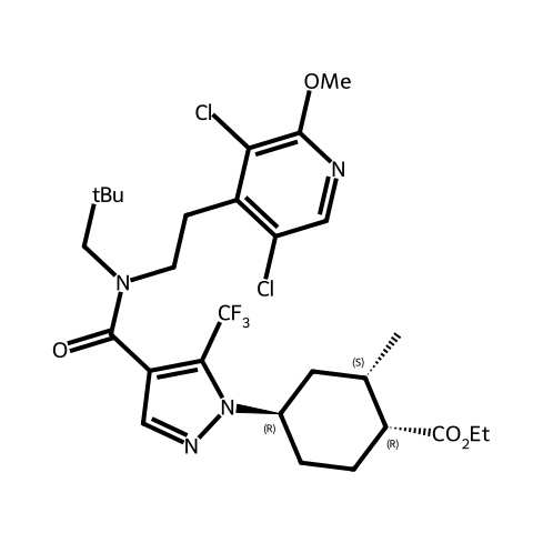 CCOC(=O)[C@@H]1CC[C@@H](n2ncc(C(=O)N(CCc3c(Cl)cnc(OC)c3Cl)CC(C)(C)C)c2C(F)(F)F)C[C@@H]1C